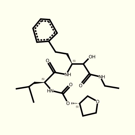 CCNC(=O)C(O)[C@H](CCc1ccccc1)NC(=O)[C@H](CC(C)C)NC(=O)O[C@H]1CCOC1